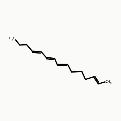 C/C=C/CCC/C=C/C=C/C=C/CCC